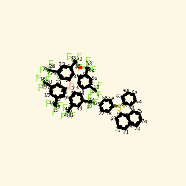 FC(F)(F)c1cc([B-](c2cc(C(F)(F)F)cc(C(F)(F)F)c2)(c2cc(C(F)(F)F)cc(C(F)(F)F)c2)c2cc(C(F)(F)F)cc(C(F)(F)F)c2)cc(C(F)(F)F)c1.c1ccc([S+](c2ccccc2)c2cccc3ccccc23)cc1